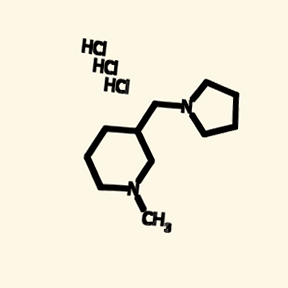 CN1CCCC(CN2CCCC2)C1.Cl.Cl.Cl